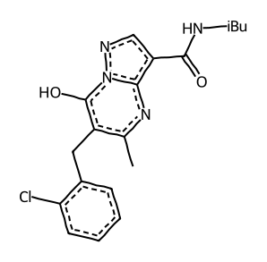 CCC(C)NC(=O)c1cnn2c(O)c(Cc3ccccc3Cl)c(C)nc12